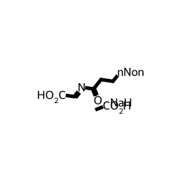 CC(=O)O.CCCCCCCCCCCC(=O)N=CC(=O)O.[NaH]